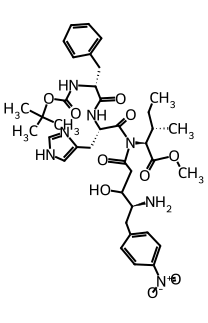 CC[C@H](C)[C@@H](C(=O)OC)N(C(=O)CC(O)[C@@H](N)Cc1ccc([N+](=O)[O-])cc1)C(=O)[C@H](Cc1c[nH]cn1)NC(=O)[C@@H](Cc1ccccc1)NC(=O)OC(C)(C)C